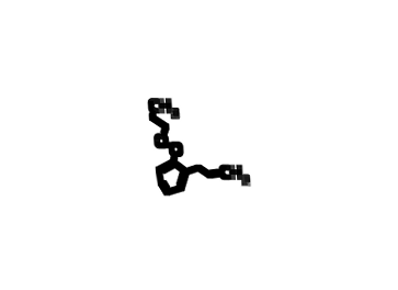 C=CCc1ccccc1OOCCC